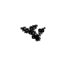 CCOC(=O)CCCc1cc(C(=O)c2cccc(OC(c3ccc(CC(C)C)cc3)c3ccc(CC(C)C)cc3)c2)n2ccccc12